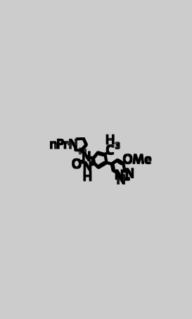 CCCN1CCC[C@@H](n2c(=O)[nH]c3cc(-c4cc(OC)c5ncnn5c4)c(C)cc32)C1